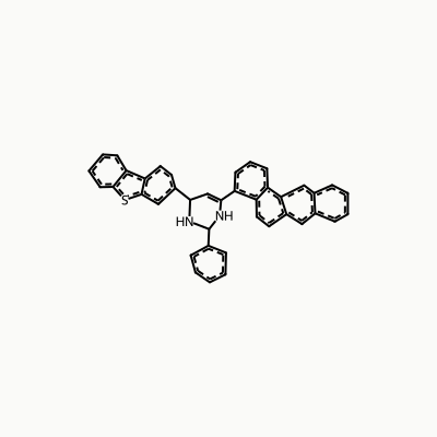 C1=C(c2cccc3c2ccc2cc4ccccc4cc23)NC(c2ccccc2)NC1c1ccc2c(c1)sc1ccccc12